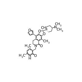 Cc1cc(C)c(CN2CCc3c(c(C)c4c(c3-c3ccoc3)O[C@@](C)([C@H]3CC[C@H](N(C)C)CC3)O4)C2=O)c(=O)[nH]1